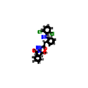 O=C(Cc1ccccc1Nc1c(Cl)cccc1Cl)NN1C(=O)c2ccccc2C1=O